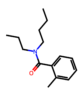 CCCCN(CCC)C(=O)c1ccccc1C